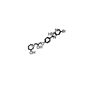 OC1CCCN(CC(O)COc2ccc(-c3nc4cc(Br)cnc4[nH]3)cc2)C1